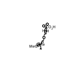 COC(CN(CC1CC1)C(=O)CCOCCc1ccc(CCN2C[C@H]3CC(N(C(=O)O)c4ccccc4-c4ccccc4)C[C@H]3C2)cc1)OC